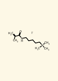 C=C(C)C(=O)NCCCCC[N+](C)(C)C.[I-]